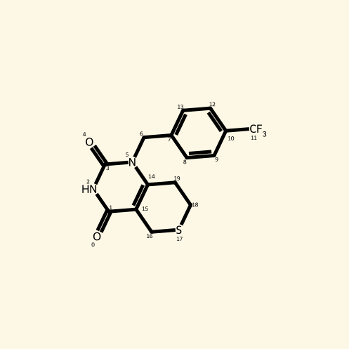 O=c1[nH]c(=O)n(Cc2ccc(C(F)(F)F)cc2)c2c1CSCC2